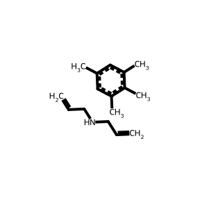 C=CCNCC=C.Cc1cc(C)c(C)c(C)c1